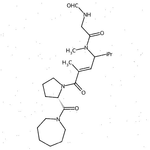 C/C(=C\C(C(C)C)N(C)C(=O)CNC=O)C(=O)N1CCC[C@H]1C(=O)N1CCCCCC1